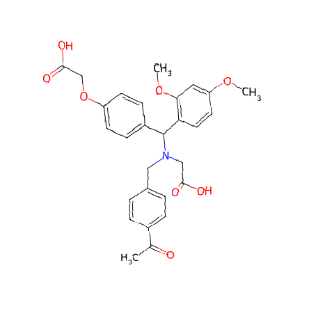 COc1ccc(C(c2ccc(OCC(=O)O)cc2)N(CC(=O)O)Cc2ccc(C(C)=O)cc2)c(OC)c1